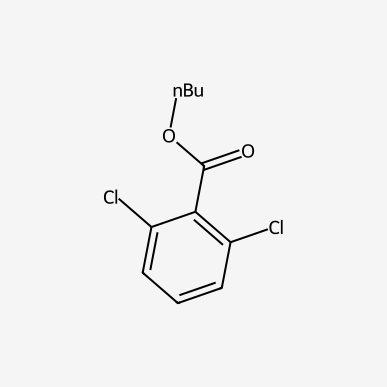 CCCCOC(=O)c1c(Cl)cccc1Cl